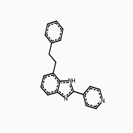 c1ccc(CCc2cccc3nc(-c4ccncc4)[nH]c23)cc1